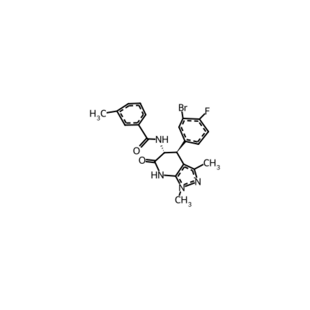 Cc1cccc(C(=O)N[C@H]2C(=O)Nc3c(c(C)nn3C)[C@@H]2c2ccc(F)c(Br)c2)c1